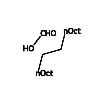 CCCCCCCCCCCCCCCCCC.O=CO